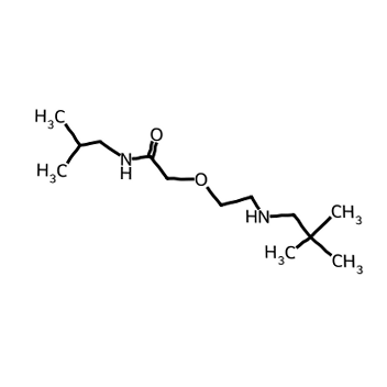 CC(C)CNC(=O)COCCNCC(C)(C)C